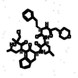 CC(C)C[C@H](NC(=O)[C@H](CCc1ccccc1)NC(=O)CN1CCOCC1)C(=O)N[C@@H](Cc1ccccc1)C(=O)N[C@@H](CC(C)C)C(=O)C(C)(O)CCl